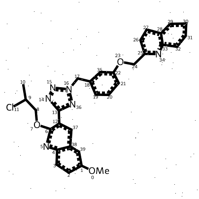 COc1ccc2nc(OCC(C)Cl)c(-c3nnn(Cc4cccc(OCc5ccc6ccccc6n5)c4)n3)cc2c1